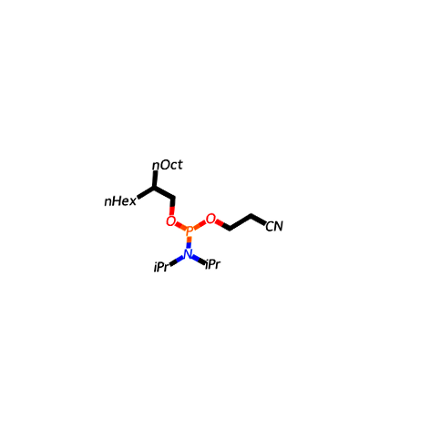 CCCCCCCCC(CCCCCC)COP(OCCC#N)N(C(C)C)C(C)C